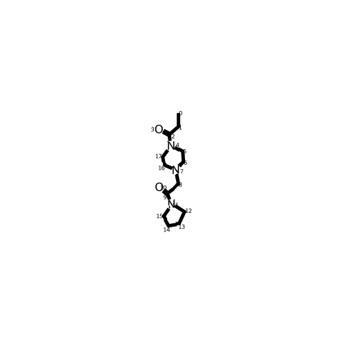 CCC(=O)N1CCN(CC(=O)N2CCCC2)CC1